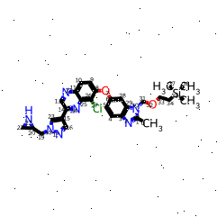 Cc1nc2ccc(Oc3ccc4ncc(-c5cnn(CC6CN6)c5)nc4c3Cl)cc2n1COCC[Si](C)(C)C